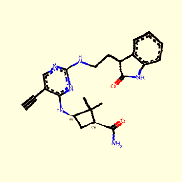 C#Cc1cnc(NCCC2C(=O)Nc3ccccc32)nc1N[C@@H]1C[C@H](C(N)=O)C1(C)C